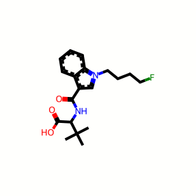 CC(C)(C)C(NC(=O)c1cn(CCCCF)c2ccccc12)C(=O)O